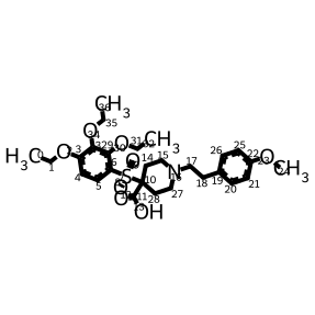 CCOc1ccc(S(=O)(=O)C2(C(=O)O)CCN(CCc3ccc(OC)cc3)CC2)c(OCC)c1OCC